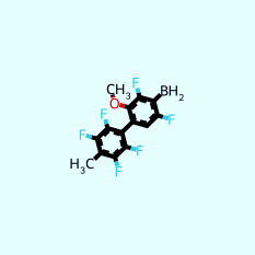 Bc1c(F)cc(-c2c(F)c(F)c(C)c(F)c2F)c(OC)c1F